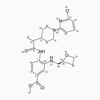 COC(=O)c1ccc(NC(=O)C(C)C2CCN(c3cccc(Cl)n3)CC2)c(NC[C@@H]2CCO2)c1